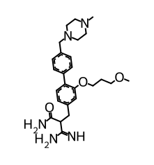 COCCCOc1cc(CC(C(=N)N)C(N)=O)ccc1-c1ccc(CN2CCN(C)CC2)cc1